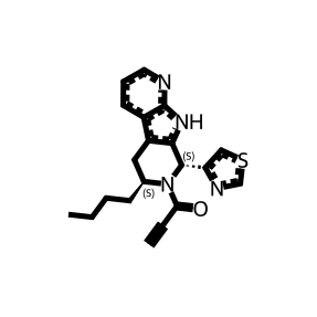 C#CC(=O)N1[C@@H](CCCC)Cc2c([nH]c3ncccc23)[C@@H]1c1cscn1